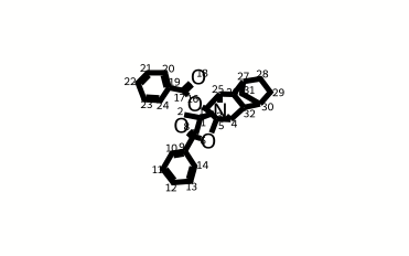 CC(C)N1C2C(OC(=O)c3ccccc3)C(OC(=O)c3ccccc3)C1C1C3CCC(C3)C12